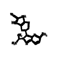 Cc1ccc2nn(C(C)C)c(-c3ccc4[nH]c(=O)[nH]c4c3)c2n1